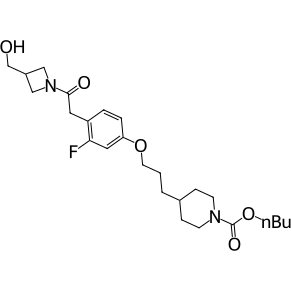 CCCCOC(=O)N1CCC(CCCOc2ccc(CC(=O)N3CC(CO)C3)c(F)c2)CC1